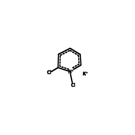 Clc1cccc[n+]1Cl.[K+]